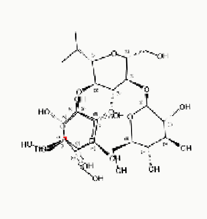 CC(C)[C@@H]1O[C@H](CO)[C@@H](O[C@@H]2O[C@H](CO)[C@@H](O)[C@H](O)[C@H]2O)[C@H](O[C@@H]2O[C@H](CO)[C@@H](O)[C@H](O)[C@H]2O)[C@H]1O[C@@H]1O[C@H](CO)[C@@H](O)[C@H](O)[C@H]1O